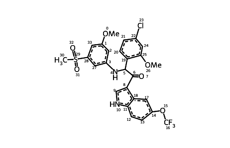 COc1cc(NC(C(=O)c2c[nH]c3ccc(OC(F)(F)F)cc23)c2ccc(Cl)cc2OC)cc(S(C)(=O)=O)c1